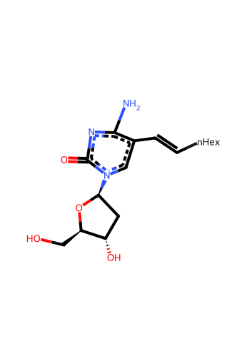 CCCCCCC=Cc1cn([C@H]2C[C@H](O)[C@@H](CO)O2)c(=O)nc1N